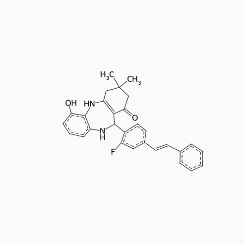 CC1(C)CC(=O)C2=C(C1)Nc1c(O)cccc1NC2c1ccc(/C=C/c2ccccc2)cc1F